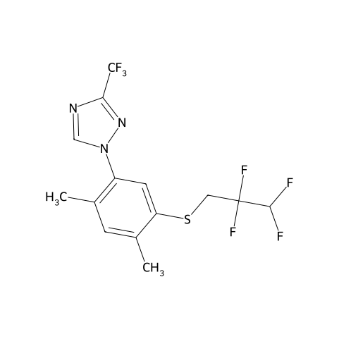 Cc1cc(C)c(-n2cnc(C(F)(F)F)n2)cc1SCC(F)(F)C(F)F